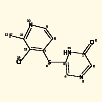 O=c1cncc(Sc2ccnc(F)c2Cl)[nH]1